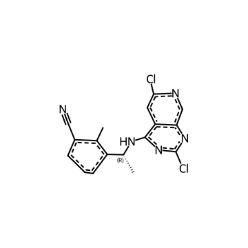 Cc1c(C#N)cccc1[C@@H](C)Nc1nc(Cl)nc2cnc(Cl)cc12